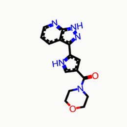 O=C(c1c[nH]c(-c2n[nH]c3ncccc23)c1)N1CCOCC1